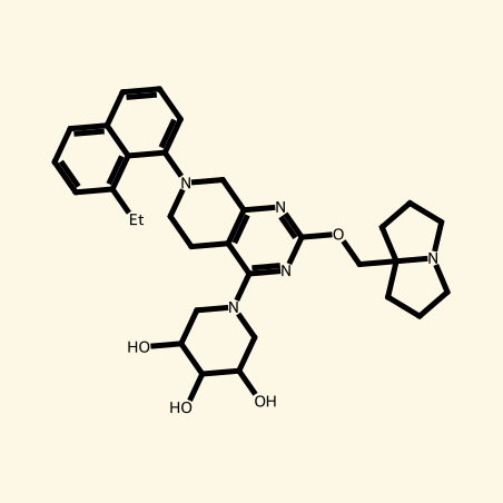 CCc1cccc2cccc(N3CCc4c(nc(OCC56CCCN5CCC6)nc4N4CC(O)C(O)C(O)C4)C3)c12